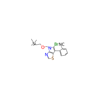 C[Si](C)(C)CCOCn1c(Br)c(-c2ccccc2C#N)c2scnc21